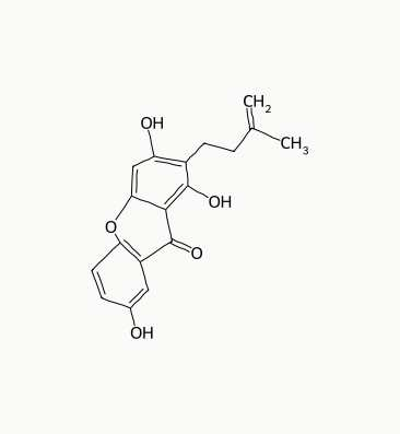 C=C(C)CCc1c(O)cc2oc3ccc(O)cc3c(=O)c2c1O